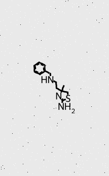 CC1(CCNCc2ccccc2)CSC(N)=N1